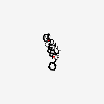 O=C(OC1CC2(C1)CN(Cc1ccccc1)C2)N1C2CC1CN(c1ccc(C(F)(F)F)nn1)C2